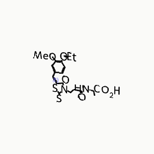 CCOc1ccc(/C=C2/SC(=S)N(CCC(=O)NC(C)C(=O)O)C2=O)cc1OC